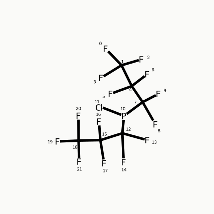 FC(F)(F)C(F)(F)C(F)(F)P(Cl)C(F)(F)C(F)(F)C(F)(F)F